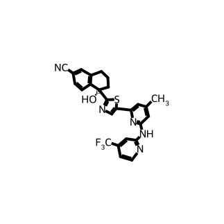 Cc1cc(Nc2cc(C(F)(F)F)ccn2)nc(-c2cnc([C@]3(O)CCCc4cc(C#N)ccc43)s2)c1